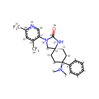 CN(C)[C@]1(c2ccccc2)CC[C@]2(CC1)CN(c1cnc(C(F)(F)F)cc1C(F)(F)F)C(=O)N2